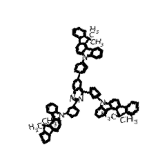 CC1(C)c2ccccc2-c2ccc3c(c21)c1ccccc1n3-c1ccc(-c2ccc3nc(-c4cccc(-n5c6ccccc6c6c7c(ccc65)-c5ccccc5C7(C)C)c4)nc(-c4cccc(-n5c6ccccc6c6c7c(ccc65)-c5ccccc5C7(C)C)c4)c3c2)cc1